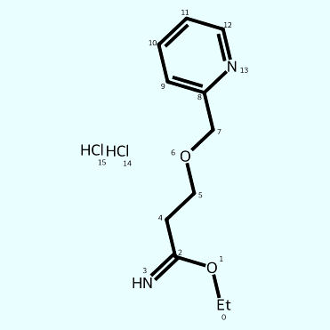 CCOC(=N)CCOCc1ccccn1.Cl.Cl